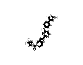 O=C(N1CCc2sc(-c3nccc(Nc4ccc(-c5cn[nH]c5)cc4)n3)cc2C1)N1CC(F)(F)C1